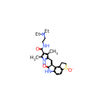 CCN(CC)CCNC(=O)c1c(C)[nH]c(/C=C2\C(=O)Nc3ccc4c(c32)CC[S+]4[O-])c1C